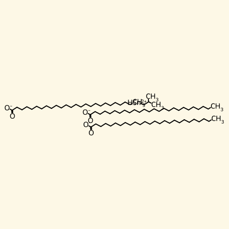 CC(C)[CH2][SnH+2].CCCCCCCCCCCCCCCCCCCCCCCCCC(=O)[O-].CCCCCCCCCCCCCCCCCCCCCCCCCC(=O)[O-].CCCCCCCCCCCCCCCCCCCCCCCCCC(=O)[O-]